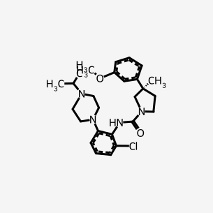 COc1cccc([C@@]2(C)CCN(C(=O)Nc3c(Cl)cccc3N3CCN(C(C)C)CC3)C2)c1